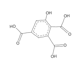 O=C(O)c1cc(O)c(C(=O)O)c(C(=O)O)c1